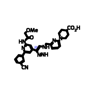 COCC(=O)Nc1cc(/C(=C/NCc2cccc(N3CCC(C(=O)O)CC3)n2)N=N)cc(-c2cccc(C#N)c2)n1